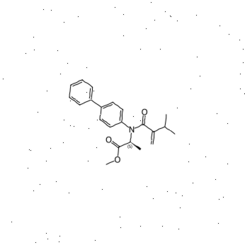 C=C(C(=O)N(c1ccc(-c2ccccc2)cc1)[C@@H](C)C(=O)OC)C(C)C